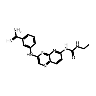 CCNC(=O)Nc1ccc2ncc(Nc3cccc(C(=N)N)c3)nc2n1